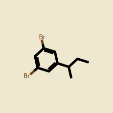 CCC(C)c1cc(Br)cc(Br)c1